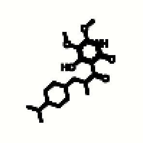 COc1[nH]c(=O)c(C(=O)C(C)CC2CCC(C(C)C)CC2)c(O)c1OC